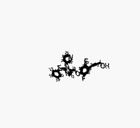 OCC#Cc1cc(F)c(OCc2cnc(SC3CCCC3)n2-c2cccnc2)cc1F